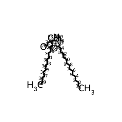 CCCCCCCCCCCCCCCC(=O)N1CCN=C1C(C)(CC=O)CCCCCCCCCCCCCC